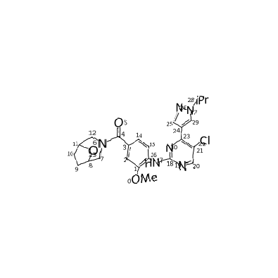 COc1cc(C(=O)N2CC3CCC(C2)O3)ccc1Nc1ncc(Cl)c(-c2cnn(C(C)C)c2)n1